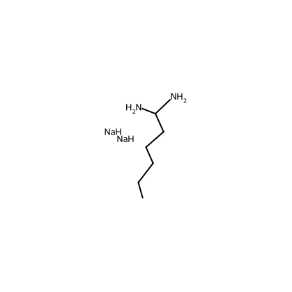 CCCCCC(N)N.[NaH].[NaH]